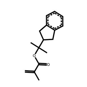 C=C(C)C(=O)OC(C)(C)C1Cc2ccccc2C1